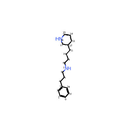 c1ccc(CCCNCCCCC2CCCNC2)cc1